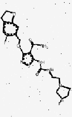 NC(=O)c1c(OCc2cc3c(cc2F)CCO3)nsc1NC(=O)NCCN1CC[C@@H](F)C1